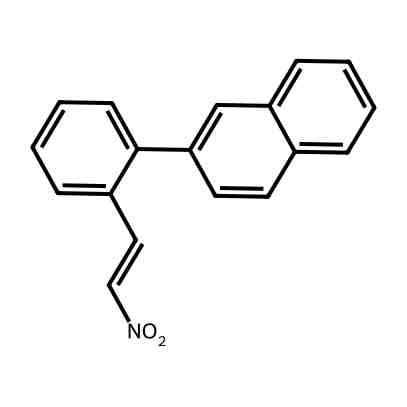 O=[N+]([O-])C=Cc1ccccc1-c1ccc2ccccc2c1